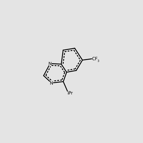 CC(C)c1ncnc2ccc(C(F)(F)F)cc12